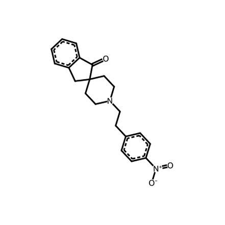 O=C1c2ccccc2CC12CCN(CCc1ccc([N+](=O)[O-])cc1)CC2